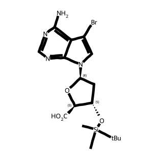 CC(C)(C)[Si](C)(C)O[C@H]1C[C@H](n2cc(Br)c3c(N)ncnc32)O[C@@H]1C(=O)O